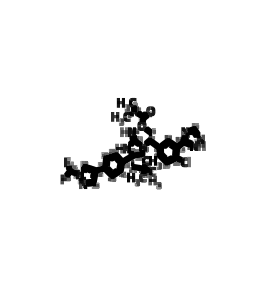 CN(C)C(=O)OC[C@H](c1ccc(Cl)c(-c2ncn[nH]2)c1)N1C[C@@](CC(C)(C)C)(c2ccc(-c3cnn(C(F)F)c3)cc2)NC1=N